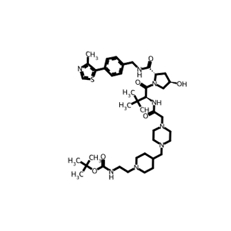 Cc1ncsc1-c1ccc(CNC(=O)[C@@H]2C[C@@H](O)CN2C(=O)[C@@H](NC(=O)CN2CCN(CC3CCN(CCNC(=O)OC(C)(C)C)CC3)CC2)C(C)(C)C)cc1